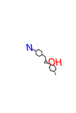 C[C@H]1CC[C@@](O)(C2CC2CC2CCC(C#N)CC2)CC1